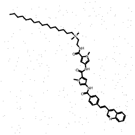 CCCCCCCCCCCCCCCC[N+](C)(C)CCNC(=O)c1cc(NC(=O)c2cc(NC(=O)c3ccc(/C=C/c4cnc5ccccc5c4)cc3)cn2C)cn1C